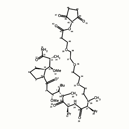 CC[C@H](C)[C@@H]([C@@H](CC(=O)N1CCC[C@H]1[C@H](OC)[C@@H](C)C(N)=O)OC)N(C)C(=O)[C@@H](NC(=O)[C@H](C(C)C)N(C)CCOCCOCCOCCC(=O)ON1C(=O)CCC1=O)C(C)C